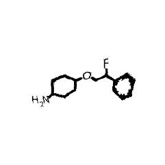 NC1CCC(OCC(F)c2ccccc2)CC1